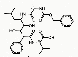 CC(C)CC(NC(=O)[C@H](C)NC(=O)OCc1ccccc1)C(O)C(O)C(C(=O)N[C@H](C(=O)O)C(C)C)c1ccccc1